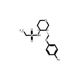 CC(=O)c1ccc(OC[C@H]2COCC[C@@H]2NS(=O)(=O)CC(F)(F)F)cc1